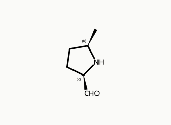 C[C@@H]1CC[C@H](C=O)N1